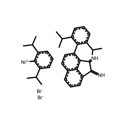 CC(C)c1cccc(C(C)C)[c]1[Ni+2].CC(C)c1cccc(C(C)C)c1-c1ccc2cccc3c2c1C(=N)C3=N.[Br-].[Br-]